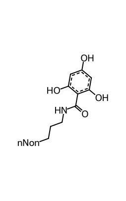 CCCCCCCCCCCCNC(=O)c1c(O)cc(O)cc1O